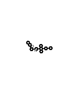 c1ccc(-c2ccc(-c3c4ccccc4c(-c4ccc(-c5cccc6c5oc5cc7ccccc7cc56)nc4)c4ccccc34)cc2)cc1